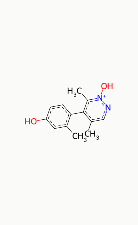 Cc1cc(O)ccc1-c1c(C)cn[n+](O)c1C